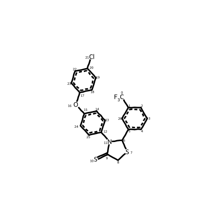 FC(F)(F)c1cccc(C2SCC(=S)N2c2ccc(Oc3ccc(Cl)cc3)cc2)c1